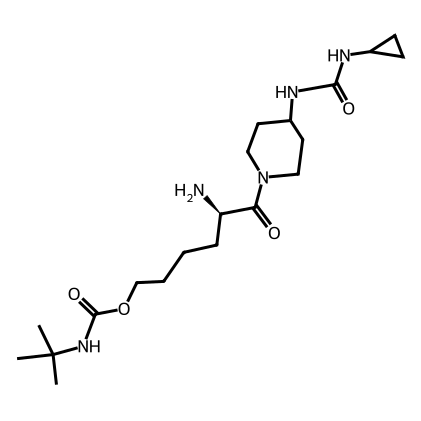 CC(C)(C)NC(=O)OCCCC[C@@H](N)C(=O)N1CCC(NC(=O)NC2CC2)CC1